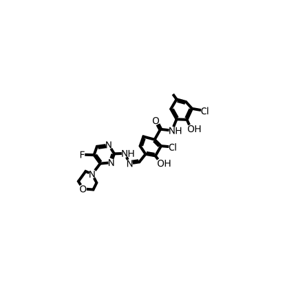 Cc1cc(Cl)c(O)c(NC(=O)c2ccc(/C=N\Nc3ncc(F)c(N4CCOCC4)n3)c(O)c2Cl)c1